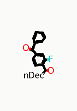 CCCCCCCCCCC(=O)c1ccc(C(=O)c2ccccc2)cc1F